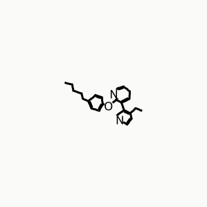 CCCCCc1ccc(OC2=NC=CCC=C2c2cnccc2CC)cc1